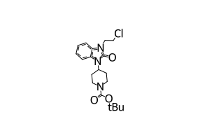 CC(C)(C)OC(=O)N1CCC(n2c(=O)n(CCCl)c3ccccc32)CC1